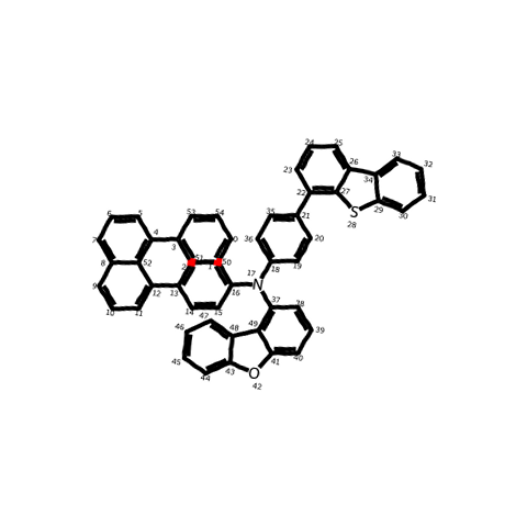 c1ccc(-c2cccc3cccc(-c4ccc(N(c5ccc(-c6cccc7c6sc6ccccc67)cc5)c5cccc6oc7ccccc7c56)cc4)c23)cc1